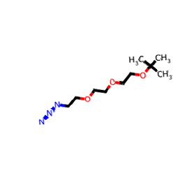 CC(C)(C)OCCOCCOCCN=[N+]=[N-]